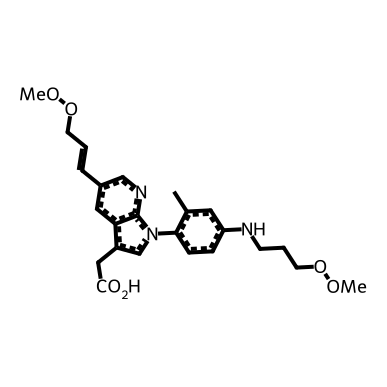 COOC/C=C/c1cnc2c(c1)c(CC(=O)O)cn2-c1ccc(NCCCOOC)cc1C